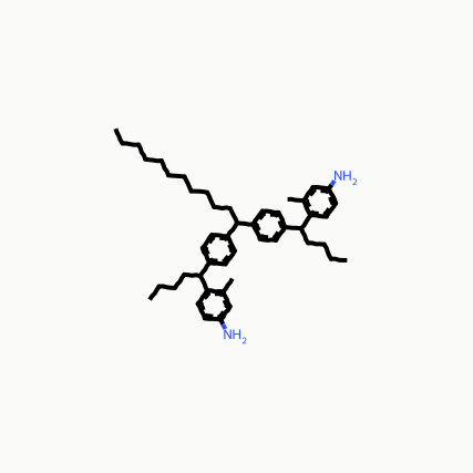 CCCCCCCCCCCC(c1ccc(C(CCCC)c2ccc(N)cc2C)cc1)c1ccc(C(CCCC)c2ccc(N)cc2C)cc1